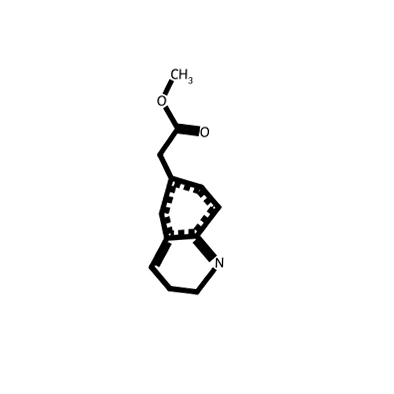 COC(=O)Cc1ccc2c(c1)=CCCN=2